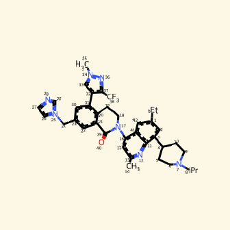 CCc1cc(C2CCN(C(C)C)CC2)c2nc(C)cc(N3CCc4c(cc(Cn5ccnc5)cc4-c4cn(C)nc4C(F)(F)F)C3=O)c2c1